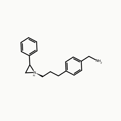 NCc1ccc(CCC[N@@]2CC2c2ccccc2)cc1